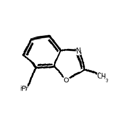 Cc1nc2cccc(C(C)C)c2o1